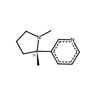 CN1CCC[C@@]1(C)c1cccnc1